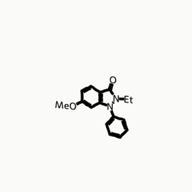 CCn1c(=O)c2ccc(OC)cc2n1-c1ccccc1